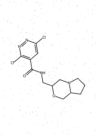 O=C(NCC1CN2CCCC2CO1)c1cc(Cl)nnc1Cl